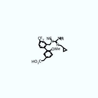 CCNC(=NCC1CC1)N(C#N)Cc1cc(C(F)(F)F)ccc1-c1cc(CC(=O)O)ccc1OC